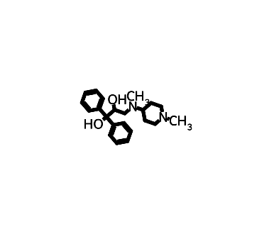 CN1CCC(N(C)CC(O)C(O)(c2ccccc2)c2ccccc2)CC1